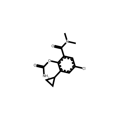 CN(C)C(=O)c1cc(Cl)cc(C2CC2)c1OC(N)=O